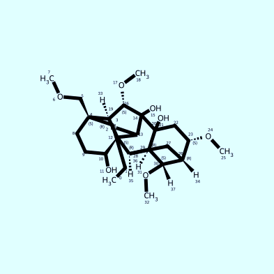 CCN1C[C@]2(COC)CCC(O)[C@]34C1C(O)([C@@H](OC)[C@H]23)C1(O)C[C@H](OC)[C@H]2C[C@@H]4[C@@H]1[C@H]2OC